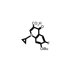 CC(C)COc1cc2c(cc1F)c(=O)c(C(=O)O)cn2C1CC1